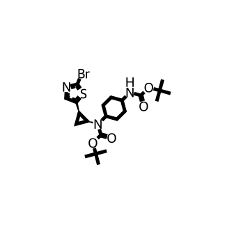 CC(C)(C)OC(=O)NC1CCC(N(C(=O)OC(C)(C)C)[C@@H]2C[C@H]2c2cnc(Br)s2)CC1